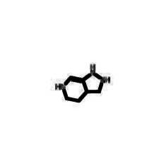 C1=C2NNCC2CCN1